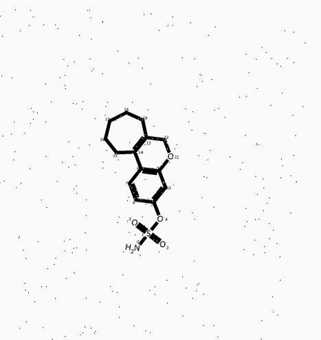 NS(=O)(=O)Oc1ccc2c(c1)OCC1=C2CCCCC1